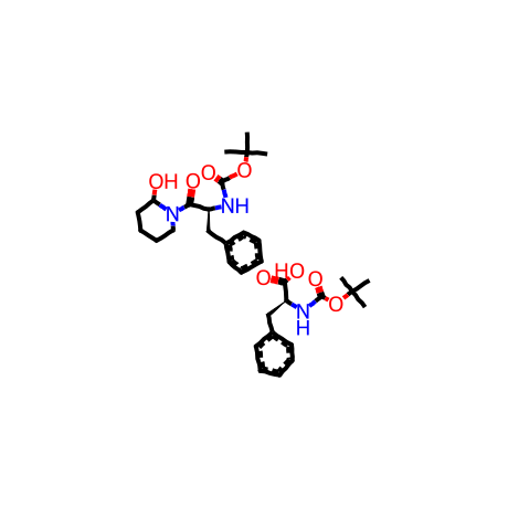 CC(C)(C)OC(=O)N[C@@H](Cc1ccccc1)C(=O)N1CCCCC1O.CC(C)(C)OC(=O)N[C@@H](Cc1ccccc1)C(=O)O